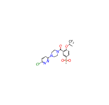 CC(Oc1ccc(S(C)(=O)=O)cc1C(=O)N1CCN(c2ccc(Cl)nn2)CC1)C(F)(F)F